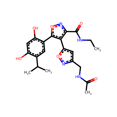 CCNC(=O)c1noc(-c2cc(C(C)C)c(O)cc2O)c1-c1cc(CNC(C)=O)no1